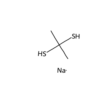 CC(C)(S)S.[Na]